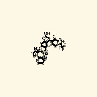 Cc1ccc([C@@H](CC(=O)O)c2ccn3c(C(F)(F)F)nnc3c2C)cc1CN1C[C@]2(C)CCCN2c2ncccc2S1(=O)=O